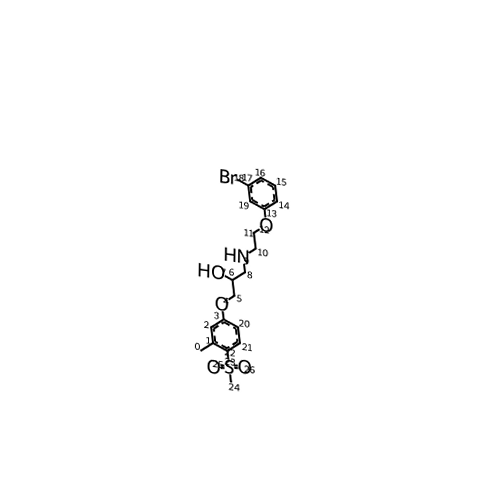 Cc1cc(OCC(O)CNCCOc2cccc(Br)c2)ccc1S(C)(=O)=O